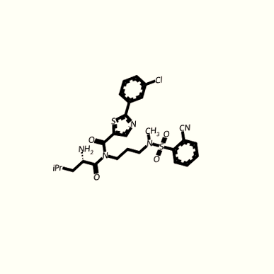 CC(C)C[C@H](N)C(=O)N(CCCN(C)S(=O)(=O)c1ccccc1C#N)C(=O)c1cnc(-c2cccc(Cl)c2)s1